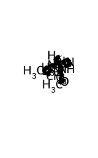 CC(=O)OCC(=O)NS(C)(c1ccncc1)c1ncccc1C(=O)Nc1cc(C)cc(C)c1